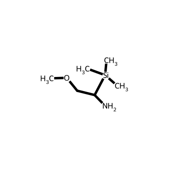 COCC(N)[Si](C)(C)C